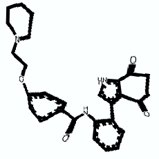 O=C(Nc1ccccc1-c1c[nH]c2c1C(=O)CCC2=O)c1ccc(OCCN2CCCCC2)cc1